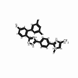 Cc1cc(C)cc(-c2cc(F)ccc2-c2nc(-c3ccc(-c4nc(C(F)(F)F)cn4C)cc3)no2)c1